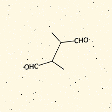 CC([C]=O)C(C)[C]=O